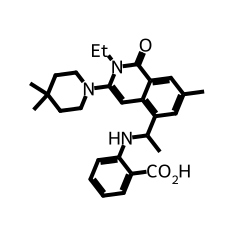 CCn1c(N2CCC(C)(C)CC2)cc2c(C(C)Nc3ccccc3C(=O)O)cc(C)cc2c1=O